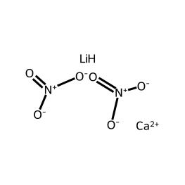 O=[N+]([O-])[O-].O=[N+]([O-])[O-].[Ca+2].[LiH]